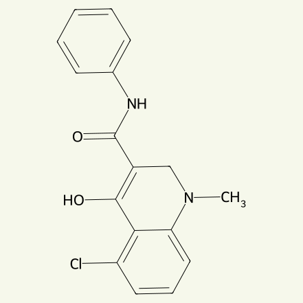 CN1CC(C(=O)Nc2ccccc2)=C(O)c2c(Cl)cccc21